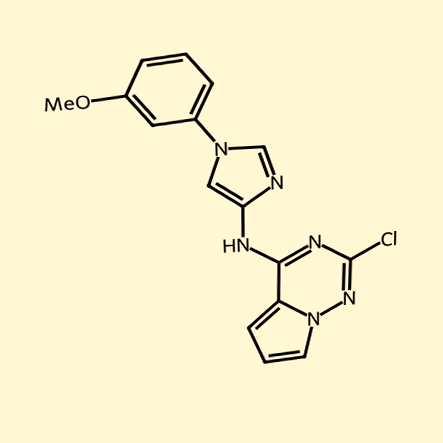 COc1cccc(-n2cnc(Nc3nc(Cl)nn4cccc34)c2)c1